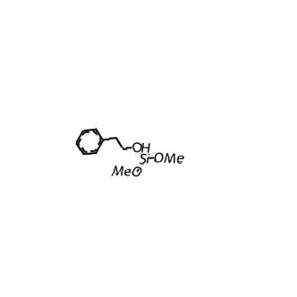 CO[SiH](OC)OCCc1ccccc1